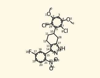 COc1cc(OC)c(Cl)c(C2CCc3c(-c4cc(F)ccc4[N+](=O)[O-])n[nH]c3C2)c1Cl